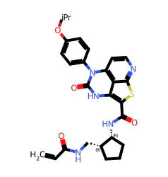 C=CC(=O)NC[C@H]1CCC[C@H]1NC(=O)c1sc2nccc3c2c1NC(=O)N3c1ccc(OC(C)C)cc1